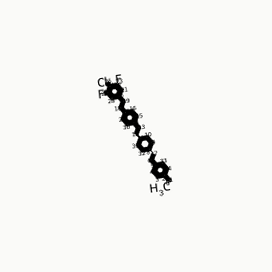 CCc1ccc(CC[C@H]2CC[C@H](CCc3ccc(CCc4cc(F)c(Cl)c(F)c4)cc3)CC2)cc1